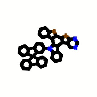 c1ccc2c(c1)-c1ccccc1C21c2ccccc2-c2ccc(-n3c4ccccc4c4c5c6cncnc6sc5c5sc6ccccc6c5c43)cc21